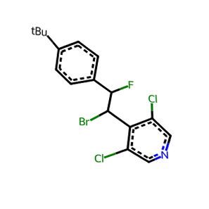 CC(C)(C)c1ccc(C(F)C(Br)c2c(Cl)cncc2Cl)cc1